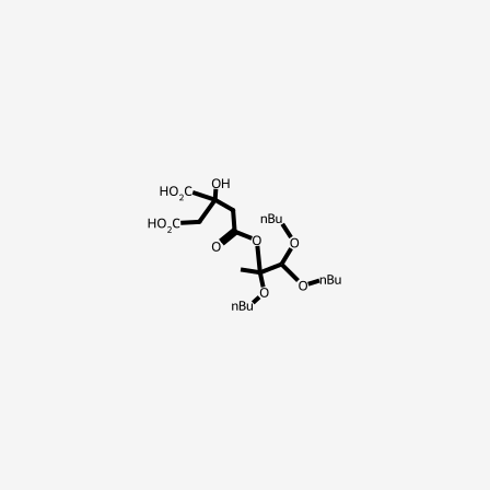 CCCCOC(OCCCC)C(C)(OCCCC)OC(=O)CC(O)(CC(=O)O)C(=O)O